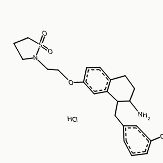 Cl.NC1CCc2ccc(OCCN3CCCS3(=O)=O)cc2C1Cc1cccc(Cl)c1